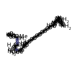 CO[C@@H](CC1CCCC(C(=O)C(=O)N2CCCCC2)O1)/C(C)=C/C=C/C=C/[C@@H](C)C[C@@H](C)C(=O)C[C@H](O)/C(C)=C/[C@@H](C)CC[C@@H](CC[C@H]1CC[C@H](OC(=O)NCCOCCOCCOCCOCCOCCOCCOCCOCCOCCNC(=O)c2ncc(Cn3nc(-c4ccc5oc(N)nc5c4)c4c(N)ncnc43)cn2)CC1)OC=O